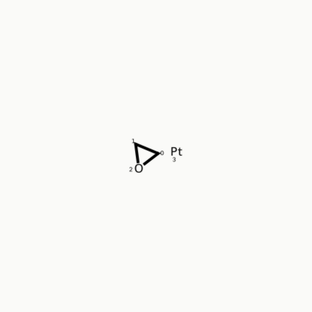 C1CO1.[Pt]